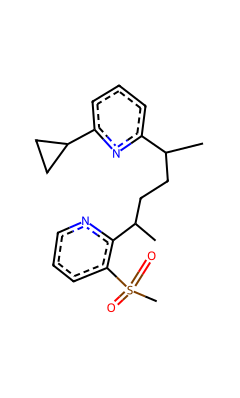 CC(CCC(C)c1ncccc1S(C)(=O)=O)c1cccc(C2CC2)n1